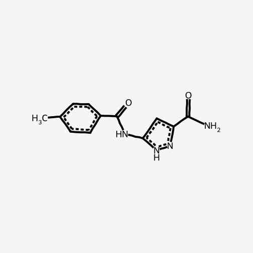 Cc1ccc(C(=O)Nc2cc(C(N)=O)n[nH]2)cc1